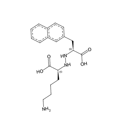 NCCCC[C@H](NN[C@@H](Cc1ccc2ccccc2c1)C(=O)O)C(=O)O